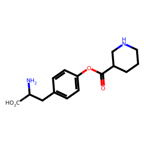 NC(Cc1ccc(OC(=O)C2CCCNC2)cc1)C(=O)O